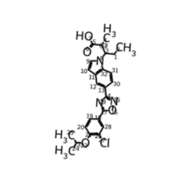 CCC([C@H](C)C(=O)O)n1ccc2cc(-c3noc(-c4ccc(OC(C)C)c(Cl)c4)n3)ccc21